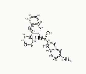 Nc1cc2cc(C(=O)N[C@@H](Cc3ccccc3)C(=O)N3CCOCC3)[nH]c2cn1